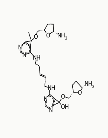 CC1(OC[C@@H]2CC[C@H](N)O2)c2ncnc(NCC/C=C/CNc3ncnc4c3C4(O)OC[C@@H]3CC[C@H](N)O3)c21